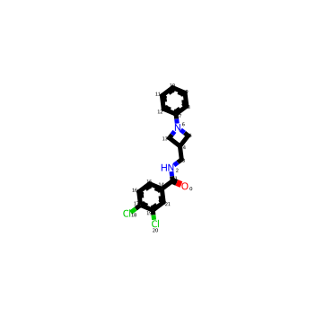 O=C(NCC1CN(c2ccccc2)C1)c1ccc(Cl)c(Cl)c1